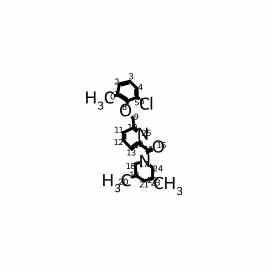 Cc1cccc(Cl)c1OCc1cccc(C(=O)N2CC(C)CC(C)C2)n1